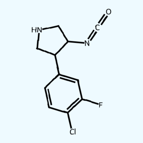 O=C=NC1CNCC1c1ccc(Cl)c(F)c1